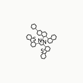 c1ccc(-c2ccc3c(-c4nc(-c5cccc6c5sc5ccccc56)cc(-c5cccc6c5sc5ccccc56)n4)c(-c4cccc5ccccc45)ccc3c2)cc1